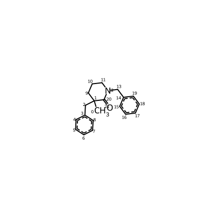 CC1(Cc2ccccc2)CCCN(Cc2ccccc2)C1=O